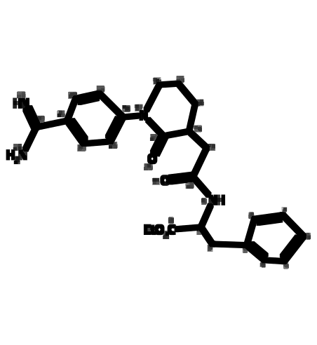 CCOC(=O)C(Cc1ccccc1)NC(=O)CC1CCCN(c2ccc(C(=N)N)cc2)C1=O